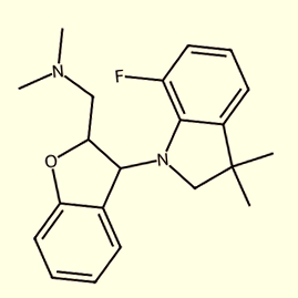 CN(C)CC1Oc2ccccc2C1N1CC(C)(C)c2cccc(F)c21